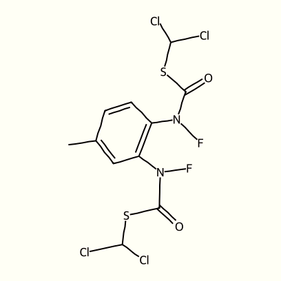 Cc1ccc(N(F)C(=O)SC(Cl)Cl)c(N(F)C(=O)SC(Cl)Cl)c1